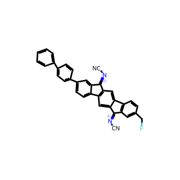 N#C/N=c1\c2cc(CF)ccc2c2cc3/c(=N/C#N)c4cc(-c5ccc(-c6ccccc6)cc5)ccc4c3cc12